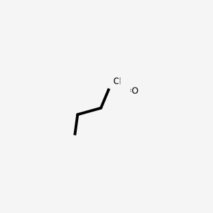 CCCC.[C].[O]